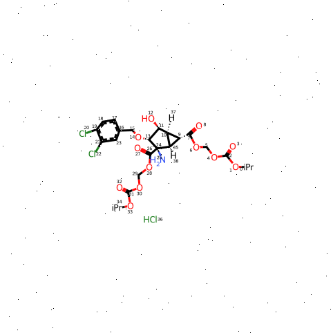 CC(C)OC(=O)OCOC(=O)[C@H]1[C@@H]2[C@H](O)[C@@H](OCc3ccc(Cl)c(Cl)c3)[C@@](N)(C(=O)OCOC(=O)OC(C)C)[C@H]12.Cl